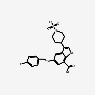 CCS(=O)(=O)N1CCC(c2c[nH]c3c(C(N)=O)cc(OCc4ccc(F)cc4)cc23)CC1